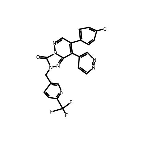 O=c1n(Cc2ccc(C(F)(F)F)nc2)nc2c(-c3ccnnc3)c(-c3ccc(Cl)cc3)cnn12